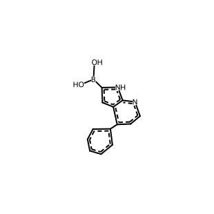 OB(O)c1cc2c(-c3ccccc3)ccnc2[nH]1